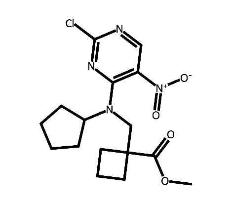 COC(=O)C1(CN(c2nc(Cl)ncc2[N+](=O)[O-])C2CCCC2)CCC1